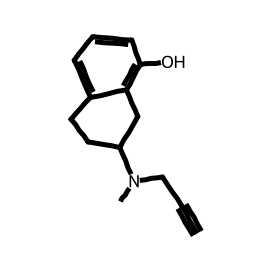 C#CCN(C)C1CCc2cccc(O)c2C1